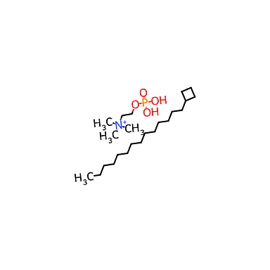 CCCCCCCCCCCCCCC1CCC1.C[N+](C)(C)CCOP(=O)(O)O